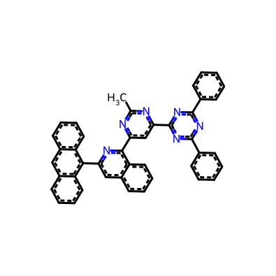 Cc1nc(-c2nc(-c3ccccc3)nc(-c3ccccc3)n2)cc(-c2nc(-c3c4ccccc4cc4ccccc34)cc3ccccc23)n1